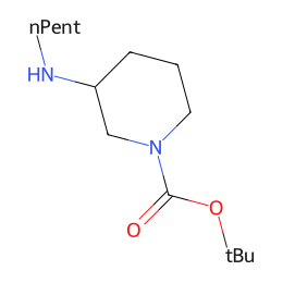 CCCCCNC1CCCN(C(=O)OC(C)(C)C)C1